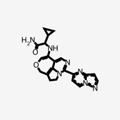 NC(=O)C(NC1=COCC2=C3C1=CN=C(c1ccn4nccc4n1)N3CC2)C1CC1